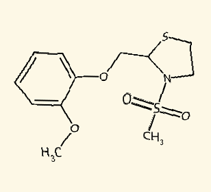 COc1ccccc1OCC1SCCN1S(C)(=O)=O